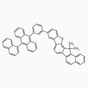 CC1(C)c2c(ccc3ccccc23)-c2ccc3c(sc4ccc(-c5cccc(-c6c7ccccc7c(-c7cccc8ccccc78)c7ccccc67)c5)cc43)c21